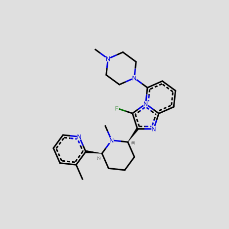 Cc1cccnc1[C@@H]1CCC[C@H](c2nc3cccc(N4CCN(C)CC4)n3c2F)N1C